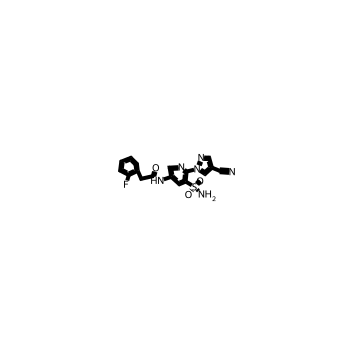 N#Cc1cnn(-c2ncc(NC(=O)Cc3ccccc3F)cc2S(N)(=O)=O)c1